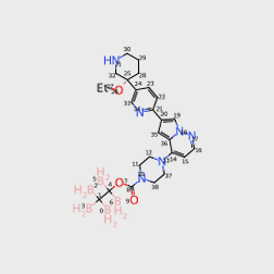 BC(B)(B)C(B)(B)OC(=O)N1CCN(c2ccnn3cc(-c4ccc([C@]5(OCC)CCCNC5)cn4)cc23)CC1